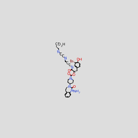 NN1C(=O)N(C2CCN(C(=O)O[C@H](Cc3ccc(O)c(Br)c3)C(=O)N=C=C=CN=C=C=NCCC(=O)O)CC2)CCc2ccccc21